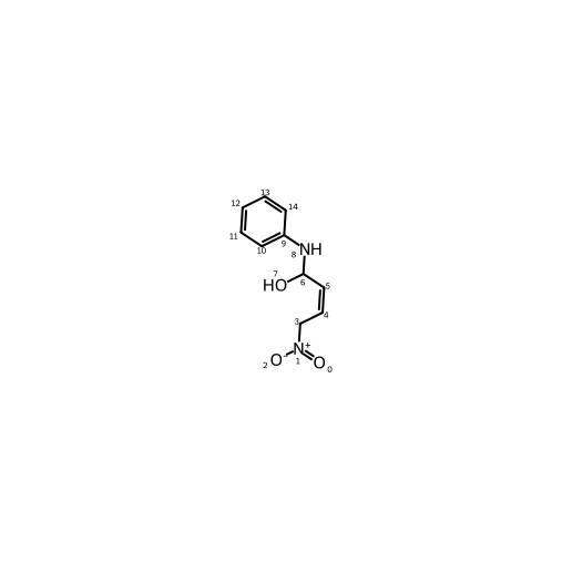 O=[N+]([O-])C/C=C\C(O)Nc1ccccc1